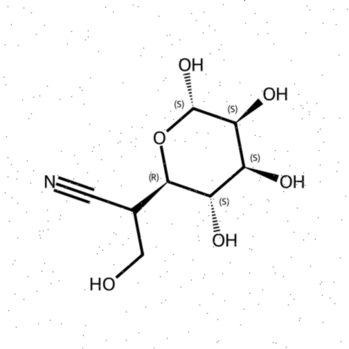 N#CC(CO)[C@H]1O[C@H](O)[C@@H](O)[C@@H](O)[C@@H]1O